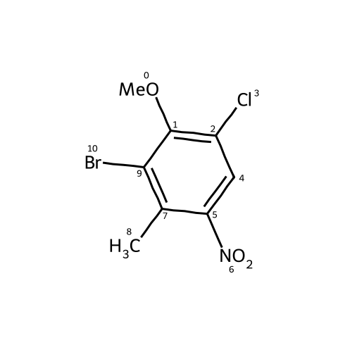 COc1c(Cl)cc([N+](=O)[O-])c(C)c1Br